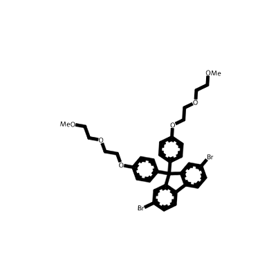 COCCOCCOc1ccc(C2(c3ccc(OCCOCCOC)cc3)c3cc(Br)ccc3-c3ccc(Br)cc32)cc1